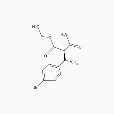 CCOC(=O)[C@@H](C(N)=O)C(C)c1ccc(Br)cc1